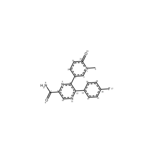 Cn1cc(-c2nc(C(N)=O)cnc2-c2ccc(F)cc2)ccc1=O